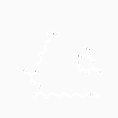 CCCCCCCCCCCCCCCCOC(=O)OOC(=O)OCCCCCCCCCCCCCCCC.O=c1ooooc(=O)o1